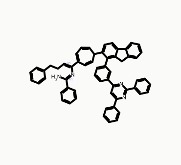 N/C(=N\C(=C/CCc1ccccc1)C1=CC=CC(c2ccc3c(c2-c2cccc(-c4cc(-c5ccccc5)nc(-c5ccccc5)n4)c2)Cc2ccccc2-3)C=C1)c1ccccc1